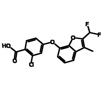 Cc1c(C(F)F)oc2c(Oc3ccc(C(=O)O)c(Cl)c3)cccc12